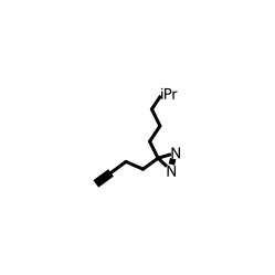 C#CCCC1(CCCC(C)C)N=N1